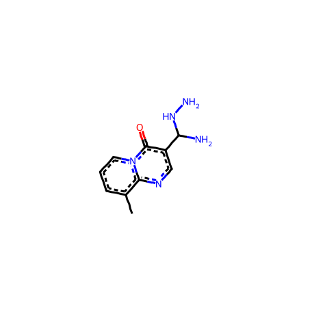 Cc1cccn2c(=O)c(C(N)NN)cnc12